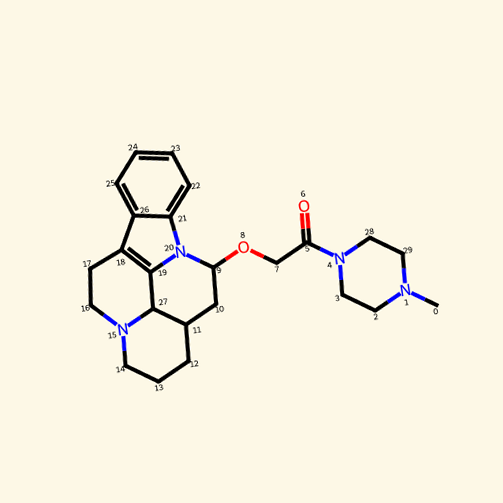 CN1CCN(C(=O)COC2CC3CCCN4CCc5c(n2c2ccccc52)C34)CC1